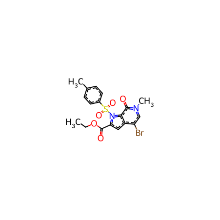 CCOC(=O)c1cc2c(Br)cn(C)c(=O)c2n1S(=O)(=O)c1ccc(C)cc1